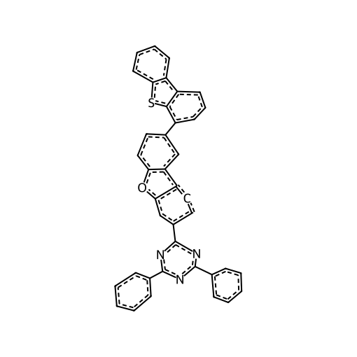 c1ccc(-c2nc(-c3ccccc3)nc(-c3ccc4c(c3)oc3ccc(-c5cccc6c5sc5ccccc56)cc34)n2)cc1